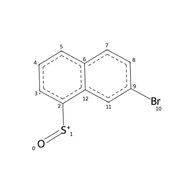 O=[S+]c1[c]ccc2ccc(Br)cc12